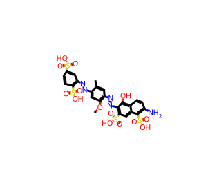 COc1cc(N=Nc2cc(S(=O)(=O)O)ccc2S(=O)(=O)O)c(C)cc1N=Nc1c(S(=O)(=O)O)cc2c(S(=O)(=O)O)c(N)ccc2c1O